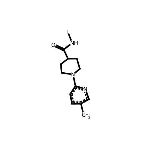 O=C(NI)C1CCN(c2ccc(C(F)(F)F)cn2)CC1